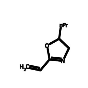 C=CC1=NCC(CCC)O1